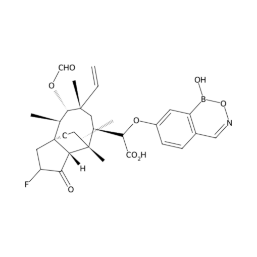 C=C[C@]1(C)C[C@@H](C(Oc2ccc3c(c2)B(O)ON=C3)C(=O)O)[C@@]2(C)[C@H](C)CC[C@]3(CC(F)C(=O)[C@H]32)[C@@H](C)[C@@H]1OC=O